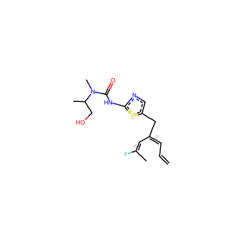 C=C/C=C(\C=C(/C)F)Cc1cnc(NC(=O)N(C)C(C)CO)s1